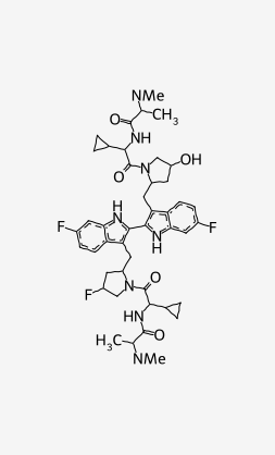 CNC(C)C(=O)NC(C(=O)N1CC(O)CC1Cc1c(-c2[nH]c3cc(F)ccc3c2CC2CC(F)CN2C(=O)C(NC(=O)C(C)NC)C2CC2)[nH]c2cc(F)ccc12)C1CC1